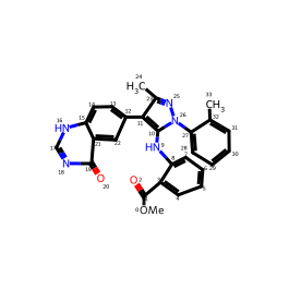 COC(=O)c1ccccc1Nc1c(-c2ccc3[nH]cnc(=O)c3c2)c(C)nn1-c1ccccc1C